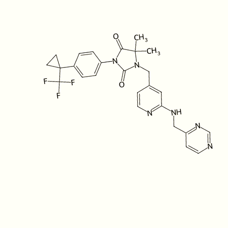 CC1(C)C(=O)N(c2ccc(C3(C(F)(F)F)CC3)cc2)C(=O)N1Cc1ccnc(NCc2ccncn2)c1